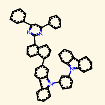 c1ccc(-c2cc(-c3ccccc3)nc(-c3cccc4c(-c5ccc6c7ccccc7n(-c7cccc(-n8c9ccccc9c9ccccc98)c7)c6c5)cccc34)n2)cc1